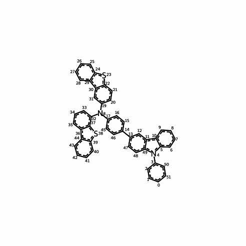 c1ccc(-n2c3ccccc3c3cc(-c4ccc(N(c5ccc6sc7ccccc7c6c5)c5cccc6c5sc5ccccc56)cc4)ccc32)cc1